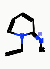 C=Cn1cccc/c1=N/CC